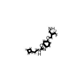 NC/C(=C/F)COc1ccc2nc(NCCC3CCC3)oc2c1